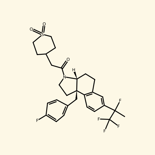 CC(F)(c1ccc2c(c1)CC[C@H]1N(C(=O)CC3CCS(=O)(=O)CC3)CC[C@@]21Cc1ccc(F)cc1)C(F)(F)F